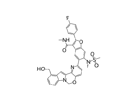 CNC(=O)c1c(-c2ccc(F)cc2)oc2cc(N(C)S(C)(=O)=O)c(-c3ccc4c(n3)-c3cc5c(CO)cccc5n3CO4)cc12